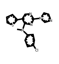 CN(c1ccc(Cl)cc1)c1nc(-n2ccnc2)ncc1-c1cccs1